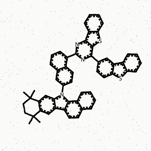 CC1(C)CCC(C)(C)c2cc3c(cc21)c1ccc2ccccc2c1n3-c1ccc2c(-c3nc(-c4ccc5sc6ccccc6c5c4)c4sc5ccccc5c4n3)cccc2c1